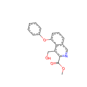 COC(=O)c1ncc2cccc(Oc3ccccc3)c2c1CO